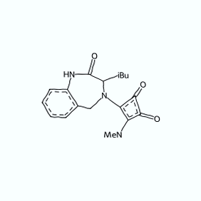 CCC(C)C1C(=O)Nc2ccccc2CN1c1c(NC)c(=O)c1=O